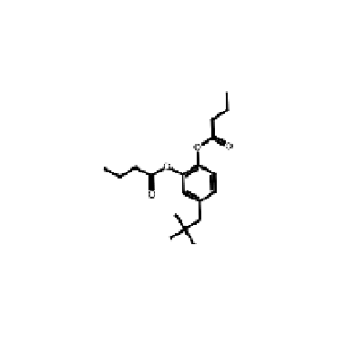 CCCC(=O)Oc1ccc(CC(C)(C)C)cc1OC(=O)CCC